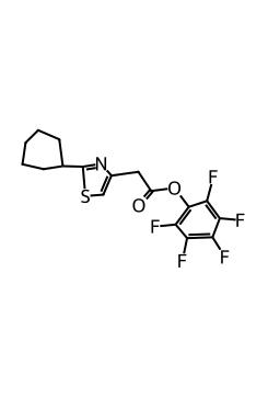 O=C(Cc1csc(C2CCCCC2)n1)Oc1c(F)c(F)c(F)c(F)c1F